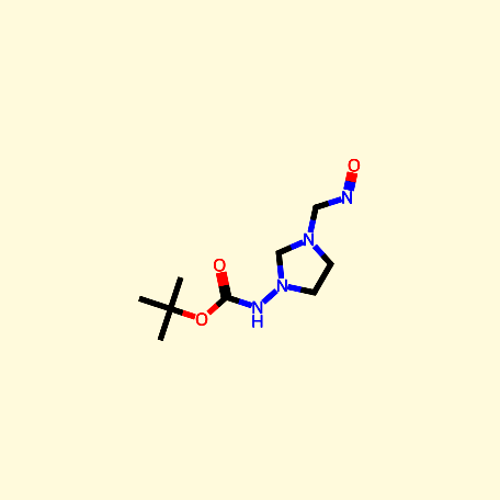 CC(C)(C)OC(=O)NN1CCN(CN=O)C1